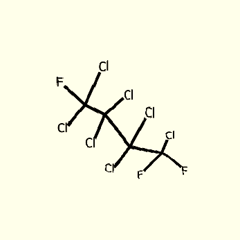 FC(F)(Cl)C(Cl)(Cl)C(Cl)(Cl)C(F)(Cl)Cl